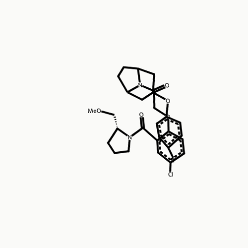 COC[C@H]1CCCN1C(=O)c1cc(Cl)ccc1OCC(=O)N1C2CCC1CC(Oc1ccc(F)cc1)C2